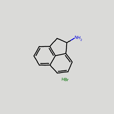 Br.NC1Cc2cccc3cccc1c23